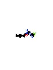 O=C(C[C@@H]1C[C@@H]1c1ccc(C2CC2)cc1)N[C@@H]1CCN(c2cncc(C(F)(F)F)c2)C1